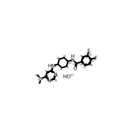 CN(C)c1cc(NC2CCC(NC(=O)c3ccc(F)c(F)c3)CC2)ncn1.Cl